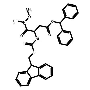 CON(C)C(=O)C(CC(=O)OC(c1ccccc1)c1ccccc1)NC(=O)OCC1c2ccccc2-c2ccccc21